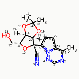 Cc1ncnn2c([C@]3(C#N)O[C@H](CO)[C@H]4OC(C)(C)O[C@H]43)ccc12